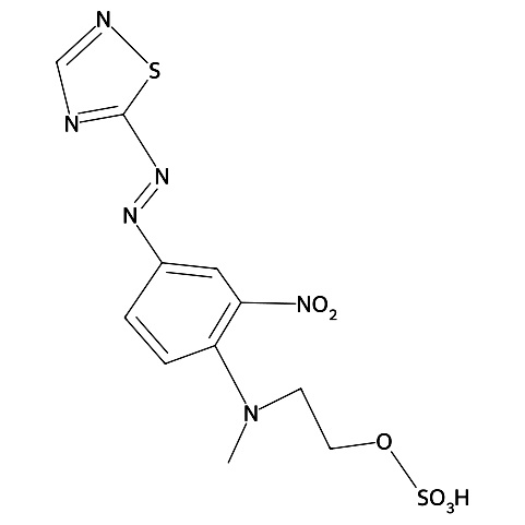 CN(CCOS(=O)(=O)O)c1ccc(N=Nc2ncns2)cc1[N+](=O)[O-]